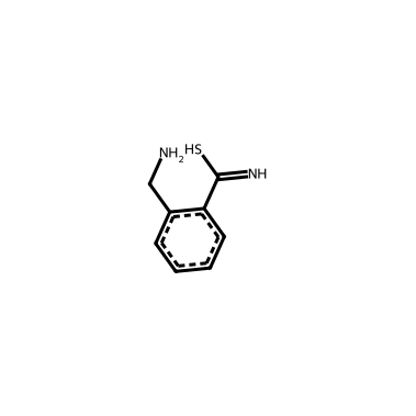 N=C(S)c1ccccc1CN